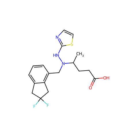 CC(CCC(=O)O)N(Cc1cccc2c1CC(F)(F)C2)Nc1nccs1